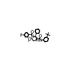 COc1cc(F)ccc1C(=O)N1CCC[C@H](C(=O)Nc2cccc(C(C)(C)C)c2)[C@@H]1c1ccccc1